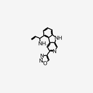 C=CC(N)c1cccc2[nH]c3cnc(-c4conn4)cc3c12